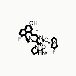 C#Cc1c(F)ccc2cc(O)cc(-c3ncc4c(N5CCCC[C@@H]5C(=O)NC)nc(OC[C@@]56CCCN5C[C@H](F)C6)nc4c3F)c12